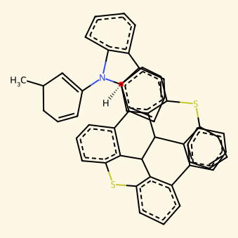 CC1C=C(N2c3ccccc3C3C=CC=C(c4cccc5c4C(C4C6=CC=CCC6Sc6ccccc64)c4c(cccc4-c4ccccc4)S5)[C@H]32)C=CC1